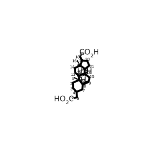 C[C@]12CCC(CC(=O)O)CC1=CC[C@@H]1[C@@H]2CC[C@]2(C)C(CC(=O)O)CC[C@@H]12